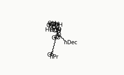 CCCCCCCCCCCCCCCC(=O)O[C@H](COC(=O)CCCCCCCCCCSC(=O)CCC)COP(=O)(O)OC1C(O)[C@@H](O)C(OP(=O)(O)O)[C@@H](O)[C@H]1O